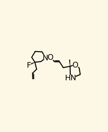 C=CC[C@]1(F)CCCN(O/C=C/C[C@@]2(C)CNCCO2)C1